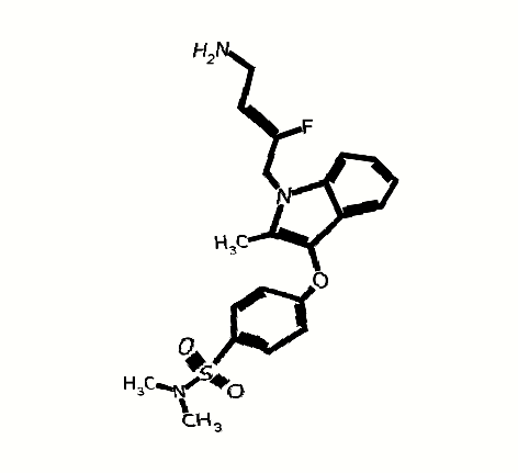 Cc1c(Oc2ccc(S(=O)(=O)N(C)C)cc2)c2ccccc2n1C/C(F)=C/CN